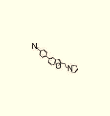 N#Cc1ccc(-c2ccc3oc(CCN4CC=CCC4)cc3c2)cc1